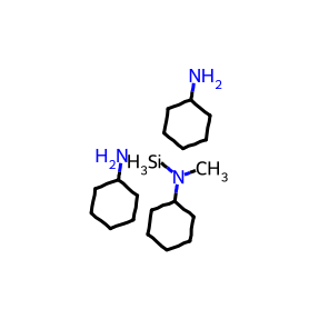 CN([SiH3])C1CCCCC1.NC1CCCCC1.NC1CCCCC1